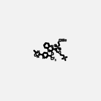 COCCS(=O)(=O)N(COCC[Si](C)(C)C)c1nc2ccccc2nc1OC(c1ccc(-c2noc(C)n2)nc1)C(F)(F)F